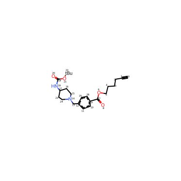 C#CCCCCOC(=O)c1ccc(CN2CCC(NC(=O)OC(C)(C)C)CC2)cc1